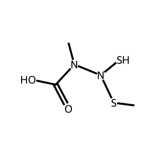 CSN(S)N(C)C(=O)O